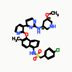 CO[C@H]1CNC[C@@H](Nc2nccc(-c3cccnc3Oc3c(C)ccc4c(NS(=O)(=O)Cc5ccc(Cl)cc5)cccc34)n2)C1